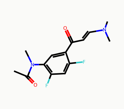 CC(=O)N(C)c1cc(C(=O)C=CN(C)C)c(F)cc1F